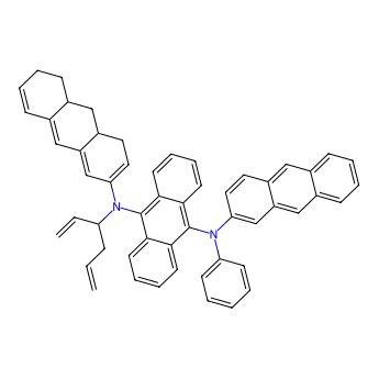 C=CCC(C=C)N(C1=CCC2CC3CCC=CC3=CC2=C1)c1c2ccccc2c(N(c2ccccc2)c2ccc3cc4ccccc4cc3c2)c2ccccc12